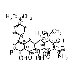 CN(C)c1ccc(-c2cc(F)c(O)c3c2CC2CC4C(N(C)C)C(O)=C(C(N)=O)C(=O)C4(O)C(O)=C2C3=O)cc1